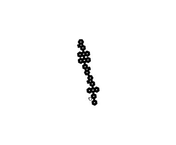 COc1cc(-c2c3ccccc3c(-c3ccc4c(c3)C(C)(C)c3cc(-c5ccc6c(c5)C(C)(C)c5cc(-c7c8ccccc8c(-c8c9ccccc9c(-c9ccc%10c(c9)C(C)(C)c9ccccc9-%10)c9ccccc89)c8ccccc78)ccc5-6)ccc3-4)c3ccccc23)ccc1-c1ccccc1